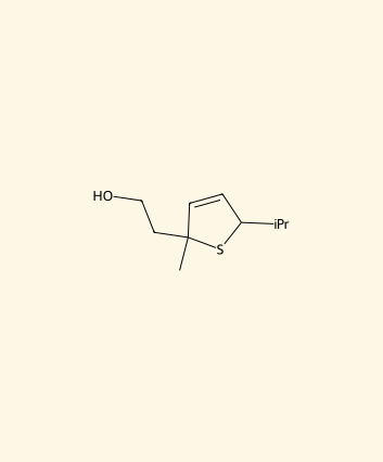 CC(C)C1C=CC(C)(CCO)S1